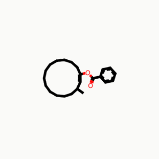 CC1C=C(OC(=O)c2ccccc2)CCCCCCCCCCCC1